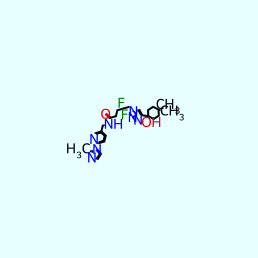 Cc1nccn1-c1ccc(CNC(=O)CCC(F)(F)Cn2cc(C3(O)CCC(C)(C)CC3)nn2)cn1